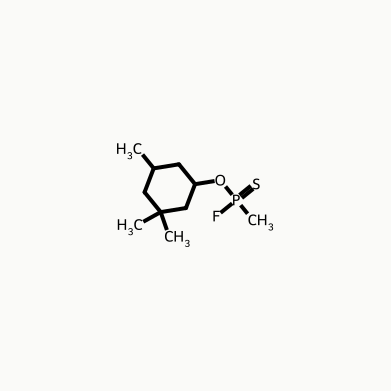 CC1CC(OP(C)(F)=S)CC(C)(C)C1